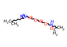 CC(C)CCCCc1cn(CCOCCOCCOCCOCCNC(=O)CC(C)C)nn1